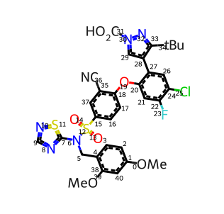 COc1ccc(CN(c2ncns2)S(=O)(=O)c2ccc(Oc3cc(F)c(Cl)cc3-c3cn(C(=O)O)nc3C(C)(C)C)c(C#N)c2)c(OC)c1